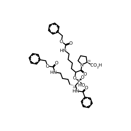 O=C(NCCCCC(OP(=O)(O)[C@@H](CCCCNC(=O)OCc1ccccc1)NC(=O)c1ccccc1)C(=O)N1CCC[C@H]1C(=O)O)OCc1ccccc1